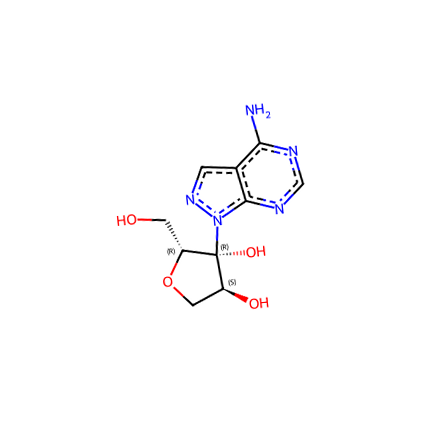 Nc1ncnc2c1cnn2[C@@]1(O)[C@@H](O)CO[C@@H]1CO